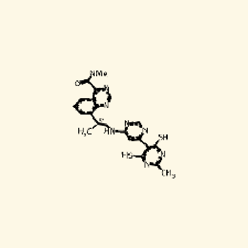 CNC(=O)c1ncnc2c([C@H](C)CNc3cc(-c4c(S)nc(C)nc4S)ncn3)cccc12